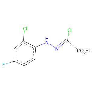 CCOC(=O)C(Cl)=NNc1ccc(F)cc1Cl